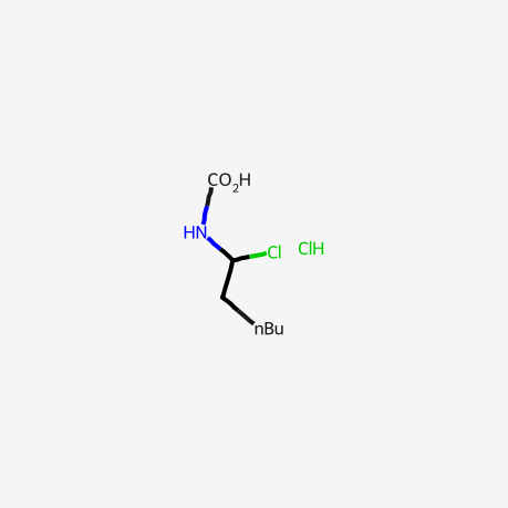 CCCCCC(Cl)NC(=O)O.Cl